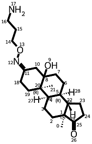 C[C@]12CC[C@@H]3[C@@H](CCC4(O)CC(=NOCCCN)CC[C@]34C)[C@@H]1CCC2=O